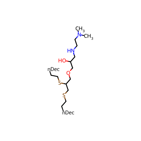 CCCCCCCCCCCCSCC(COCC(O)CNCCN(C)C)SCCCCCCCCCCCC